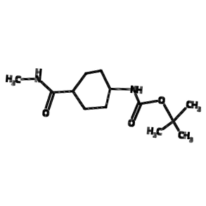 CNC(=O)C1CCC(NC(=O)OC(C)(C)C)CC1